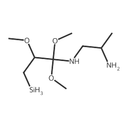 COC(C[SiH3])C(NCC(C)N)(OC)OC